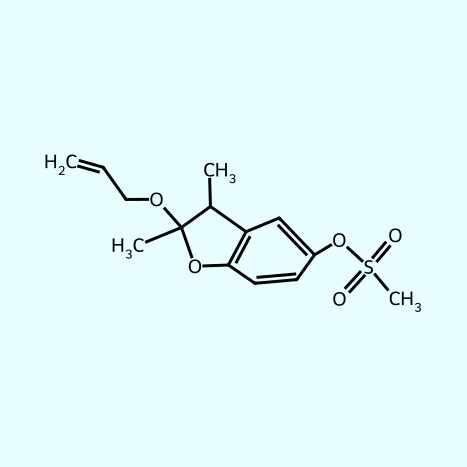 C=CCOC1(C)Oc2ccc(OS(C)(=O)=O)cc2C1C